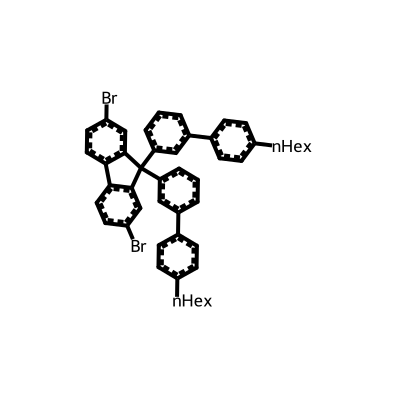 CCCCCCc1ccc(-c2cccc(C3(c4cccc(-c5ccc(CCCCCC)cc5)c4)c4cc(Br)ccc4-c4ccc(Br)cc43)c2)cc1